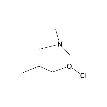 CCCOCl.CN(C)C